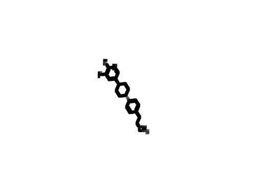 CCCc1ccc([C@H]2CC[C@H](c3cnc(F)c(F)c3)CC2)cc1